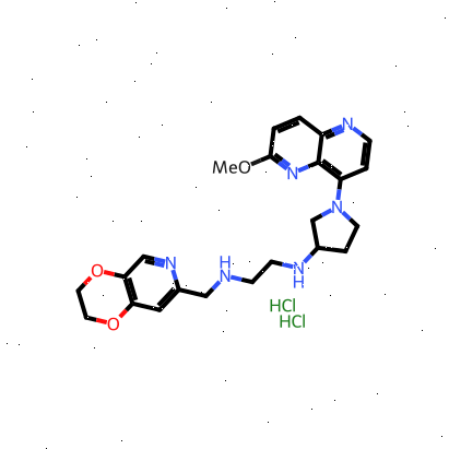 COc1ccc2nccc(N3CCC(NCCNCc4cc5c(cn4)OCCO5)C3)c2n1.Cl.Cl